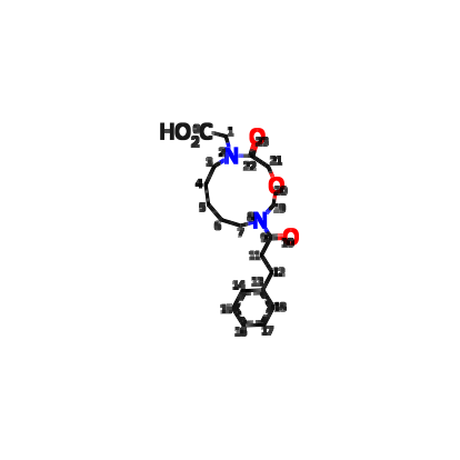 O=C(O)CN1CCCCCN(C(=O)CCc2ccccc2)COCC1=O